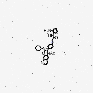 CC(=O)N(c1ccc2ncccc2c1)C(C(=O)NC1CCCCC1)c1ccc(/C=C/C(=O)Nc2ccccc2N)cc1